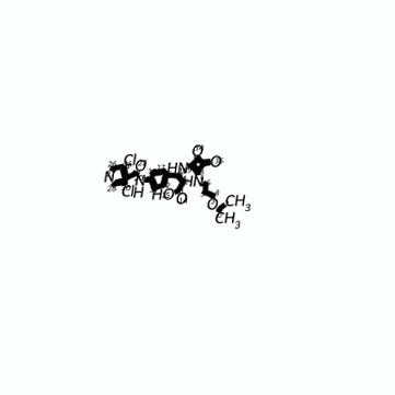 CC(C)OCCCNc1c(NC(CC(=O)O)c2ccc(NC(=O)c3c(Cl)cncc3Cl)cc2)c(=O)c1=O